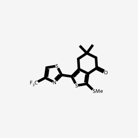 CSc1sc(-c2nc(C(F)(F)F)cs2)c2c1C(=O)CC(C)(C)C2